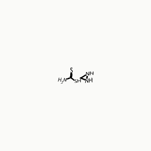 C1NN1.NC(=S)S